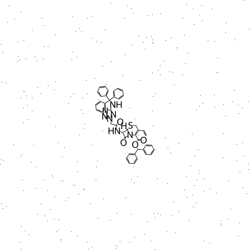 C=CC1=C(C(=O)OC(c2ccccc2)c2ccccc2)N2C(=O)C(NC(=O)Cn3nnc(NC(c4ccccc4)(c4ccccc4)c4ccccc4)n3)[C@@H]2SC1